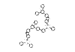 c1ccc(-c2nc(-c3ccccc3)nc(-c3ccc4c(c3)oc3ccc(-c5cc(-c6ccc(-c7cccc(-c8nc(-c9ccccc9)nc(-c9ccc%10c(c9)oc9ccc(-c%11cc(-c%12ccccc%12)c%12sc%13ccccc%13c%12c%11)cc9%10)n8)c7)cc6)c6c(c5)sc5ccccc56)cc34)n2)cc1